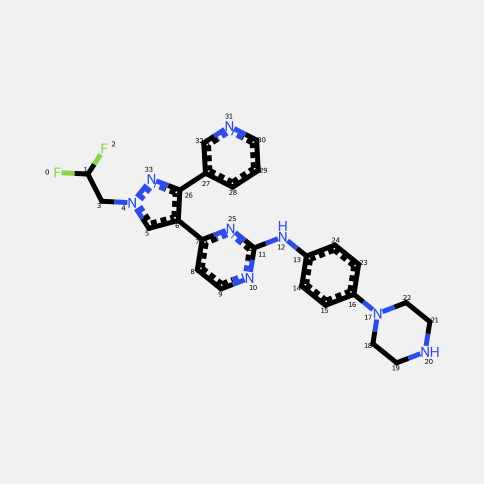 FC(F)Cn1cc(-c2ccnc(Nc3ccc(N4CCNCC4)cc3)n2)c(-c2cccnc2)n1